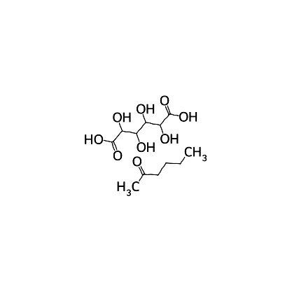 CCCCC(C)=O.O=C(O)C(O)C(O)C(O)C(O)C(=O)O